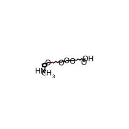 CNCc1cccc(OCCCCCCOCCOCCOCCCCCC(=O)O)c1